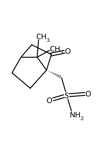 CC1(C)C2CC[C@]1(CS(N)(=O)=O)C(=O)C2